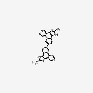 Cc1nc2c3cnccc3c3cc(-c4ccc5c(c4)c4cnncc4c4nc(C(C)C)[nH]c54)ccc3c2[nH]1